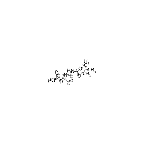 CC(C)(C)OC(=O)Nc1nc(OC(=O)O)cs1